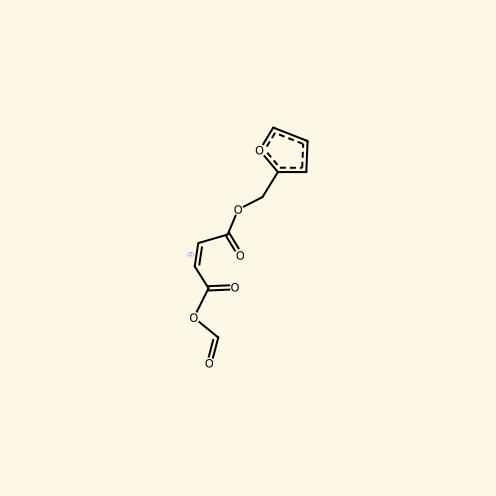 O=COC(=O)/C=C\C(=O)OCc1ccco1